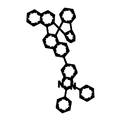 c1ccc(-c2nc3cc(-c4ccc5c6c(ccc5c4)-c4c(ccc5ccccc45)C64c5ccccc5-c5ccccc54)ccc3n2-c2ccccc2)cc1